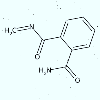 C=NC(=O)c1ccccc1C(N)=O